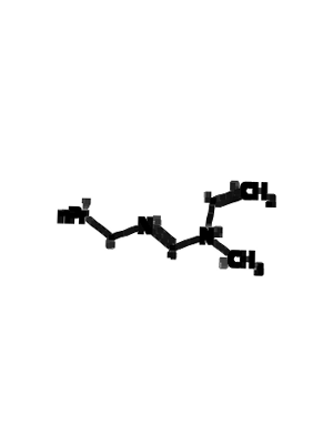 C=CN(C)/C=N/CCCC